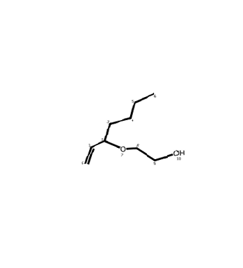 C=CC(CCCC)OCCO